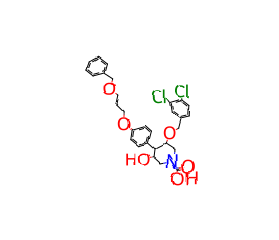 O=C(O)N1CC(O)C(c2ccc(OCCCOCc3ccccc3)cc2)C(OCc2ccc(Cl)c(Cl)c2)C1